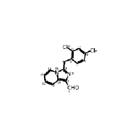 O=Cc1nc(Cc2ccc(Cl)cc2Cl)n2ccccc12